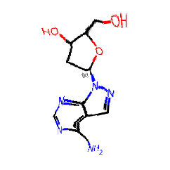 Nc1ncnc2c1cnn2[C@H]1CC(O)C(CO)O1